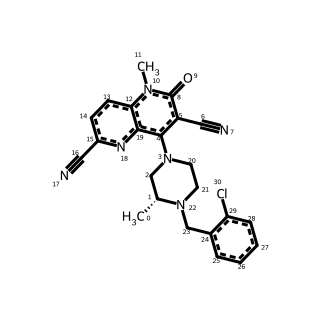 C[C@@H]1CN(c2c(C#N)c(=O)n(C)c3ccc(C#N)nc23)CCN1Cc1ccccc1Cl